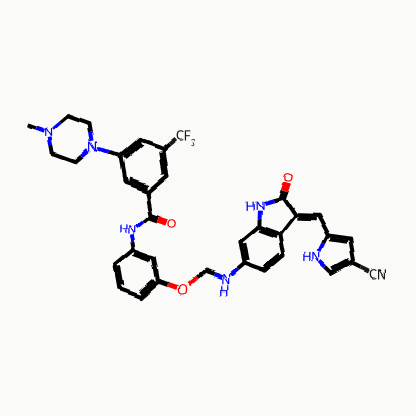 CN1CCN(c2cc(C(=O)Nc3cccc(OCNc4ccc5c(c4)NC(=O)C5=Cc4cc(C#N)c[nH]4)c3)cc(C(F)(F)F)c2)CC1